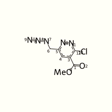 COC(=O)c1cc(CN=[N+]=[N-])nnc1Cl